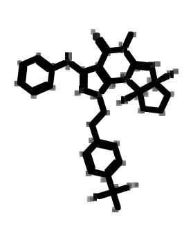 CN1C(=O)c2c(Nc3ccccc3)nn(CCc3ccc(C(C)(F)F)cc3)c2N2C1=N[C@@H]1CCC[C@@H]12